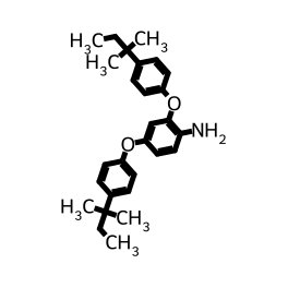 CCC(C)(C)c1ccc(Oc2ccc(N)c(Oc3ccc(C(C)(C)CC)cc3)c2)cc1